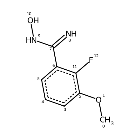 COc1cccc(C(=N)NO)c1F